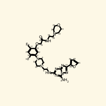 Nc1nc(NCCN2CCN(c3cc(OCC(=O)NCCN4CCOCC4)c(F)cc3F)CC2)nc2nc(-c3ccco3)nn12